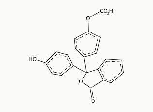 O=C(O)Oc1ccc(C2(c3ccc(O)cc3)OC(=O)c3ccccc32)cc1